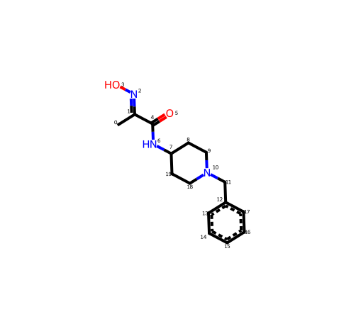 C/C(=N\O)C(=O)NC1CCN(Cc2ccccc2)CC1